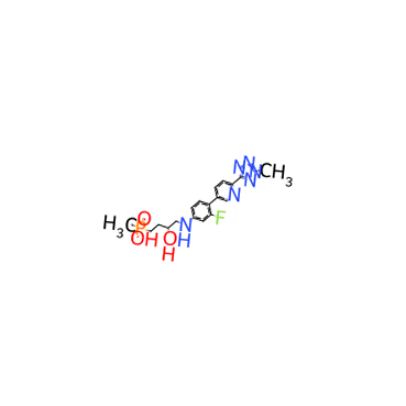 Cn1nnc(-c2ccc(-c3ccc(NCC(O)CCP(C)(=O)O)cc3F)cn2)n1